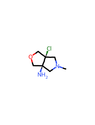 CN1C[C@]2(N)COC[C@]2(Cl)C1